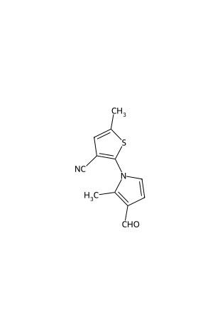 Cc1cc(C#N)c(-n2ccc(C=O)c2C)s1